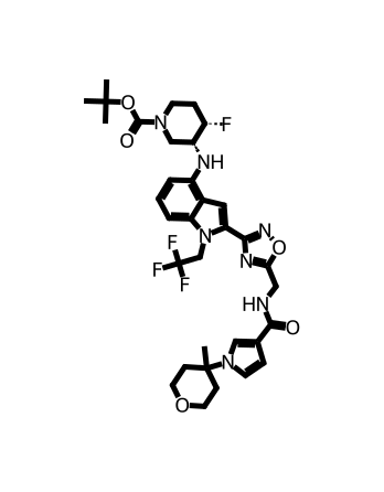 CC(C)(C)OC(=O)N1CC[C@H](F)[C@H](Nc2cccc3c2cc(-c2noc(CNC(=O)c4ccn(C5(C)CCOCC5)c4)n2)n3CC(F)(F)F)C1